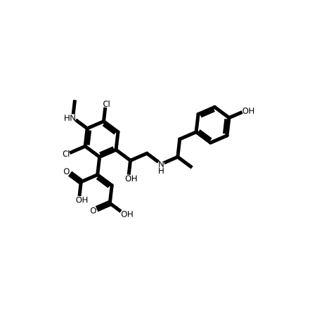 CNc1c(Cl)cc(C(O)CNC(C)Cc2ccc(O)cc2)c(/C(=C/C(=O)O)C(=O)O)c1Cl